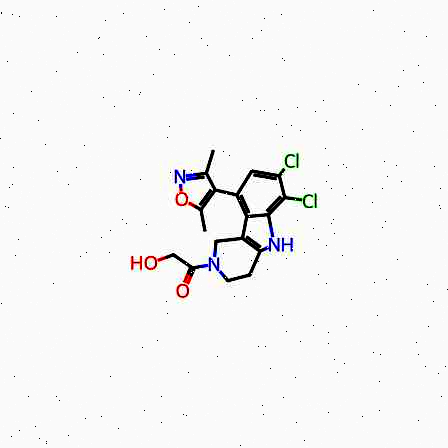 Cc1noc(C)c1-c1cc(Cl)c(Cl)c2[nH]c3c(c12)CN(C(=O)CO)CC3